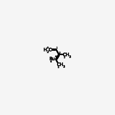 C=CC(C)=CC.[Ru]